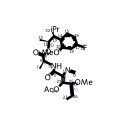 C=N/C(C(=O)N[C@@H](C)C(=O)O[C@@H](C)[C@H](c1ccc(F)cc1OC)C(C)C)=C(OC(C)=O)\C(=C/C)OC